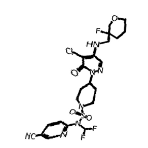 N#Cc1ccc(N(C(F)F)S(=O)(=O)N2CCC(n3ncc(NCC4(F)CCCOC4)c(Cl)c3=O)CC2)nc1